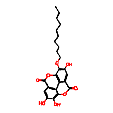 CCCCCCCCCCOc1c(O)cc2c(=O)oc3c(O)c(O)cc4c(=O)oc1c2c34